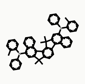 Cc1ccccc1N(c1ccccc1)c1cc2c(c3ccccc13)-c1ccc3c(c1C2(C)C)-c1c(cc(N(c2ccccc2)c2ccccc2C)c2ccccc12)C3(C)C